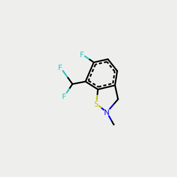 CN1Cc2ccc(F)c(C(F)F)c2S1